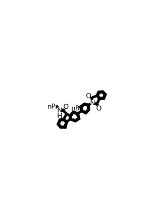 CCCCc1c(-c2ccc(N3C(=O)c4ccccc4C3=O)cc2)ccc2c1C(C(=O)NCCC)c1ccccc1-2